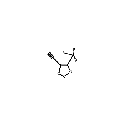 C#CC1OSOC1C(F)(F)F